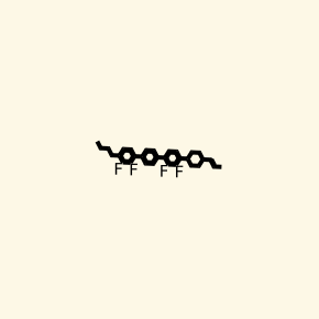 C/C=C/C1CCC(c2ccc(-c3ccc(-c4ccc(CCCC)c(F)c4F)cc3)c(F)c2F)CC1